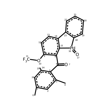 Cc1cc(C)c(C(=O)c2c(OC(F)(F)F)ccc3c2[PH](=O)c2ccccc2-3)c(C)c1